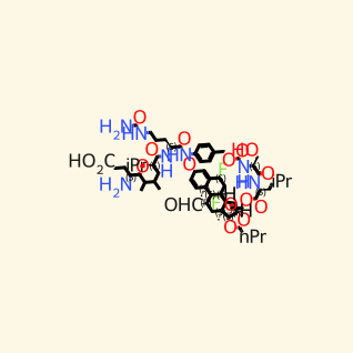 CCCC1O[C@@H]2CC3[C@@H]4C[C@H](F)C5=CC(=O)C=C[C@]5(C)[C@@]4(F)[C@@H](C=O)C[C@]3(C)[C@]2(C(=O)COC(=O)[C@H](CC(C)C)NC(=O)[C@H](CO)NC(=O)OCc2ccc(NC(=O)[C@H](CCCNC(N)=O)NC(=O)[C@@H](CC(C)C(C)C(=O)[C@@H](N)CCC(=O)O)C(C)C)cc2)O1